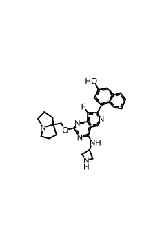 Oc1cc(-c2ncc3c(NC4CNC4)nc(OCC45CCCN4CCC5)nc3c2F)c2ccccc2c1